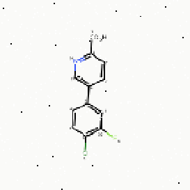 O=C(O)c1ccc(-c2ccc(Cl)c(F)c2)cn1